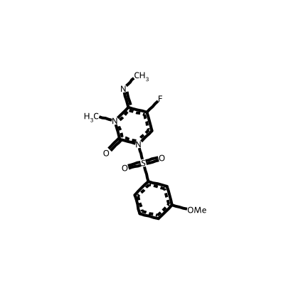 C/N=c1\c(F)cn(S(=O)(=O)c2cccc(OC)c2)c(=O)n1C